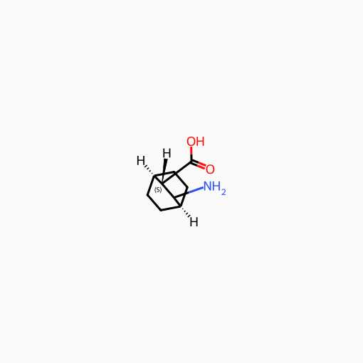 NC1[C@H]2CC[C@H](CC2)[C@@H]1C(=O)O